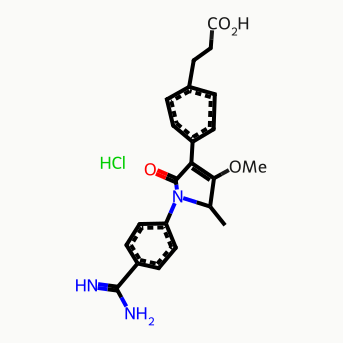 COC1=C(c2ccc(CCC(=O)O)cc2)C(=O)N(c2ccc(C(=N)N)cc2)C1C.Cl